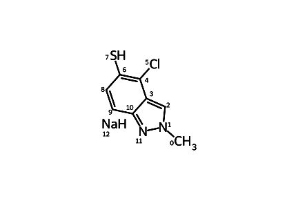 Cn1cc2c(Cl)c(S)ccc2n1.[NaH]